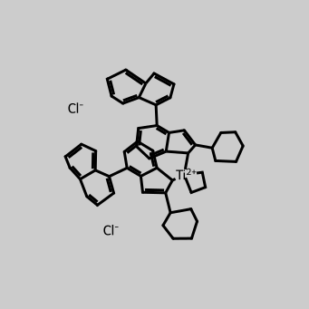 C1=C(C2CCCCC2)[CH]([Ti+2]2([CH]3C(C4CCCCC4)=Cc4c(-c5cccc6ccccc56)cccc43)[CH2]C[CH2]2)c2cccc(-c3cccc4ccccc34)c21.[Cl-].[Cl-]